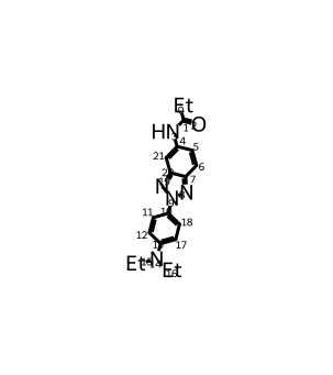 CCC(=O)Nc1ccc2nn(-c3ccc(N(CC)CC)cc3)nc2c1